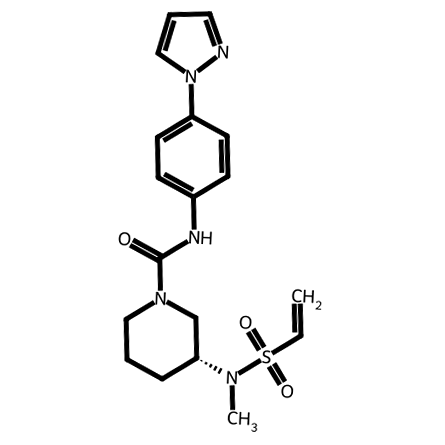 C=CS(=O)(=O)N(C)[C@@H]1CCCN(C(=O)Nc2ccc(-n3cccn3)cc2)C1